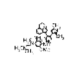 COc1cc(N(C)CCN(C)C)c(N)cc1Nc1ncc(-c2cc(C)nn2C)c(-c2cn3c4c(cccc24)CCC3)n1